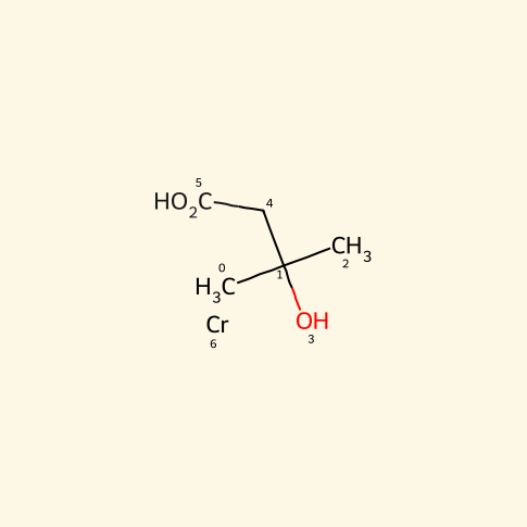 CC(C)(O)CC(=O)O.[Cr]